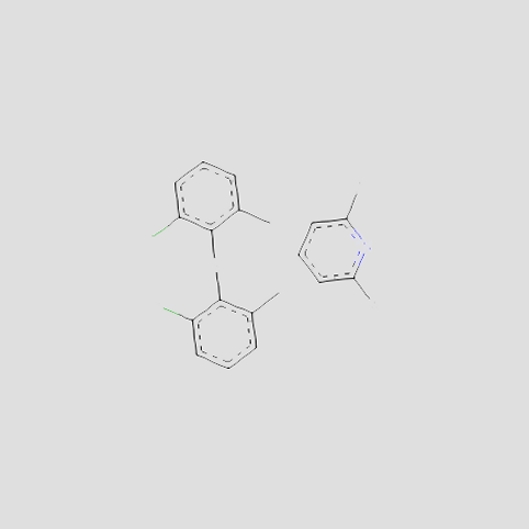 CC(=O)c1cccc(C(C)=O)n1.Cc1cccc(Cl)[c]1[Fe][c]1c(C)cccc1Cl